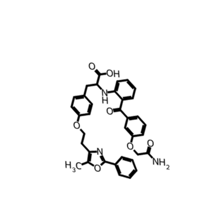 Cc1oc(-c2ccccc2)nc1CCOc1ccc(CC(Nc2ccccc2C(=O)c2cccc(OCC(N)=O)c2)C(=O)O)cc1